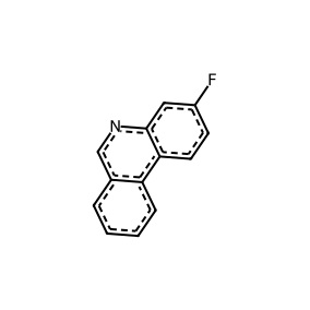 Fc1ccc2c(c1)ncc1ccccc12